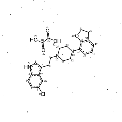 Clc1ccc2[nH]cc(CCN3CCN(c4cccc5c4OCC5)CC3)c2c1.O=C(O)C(=O)O